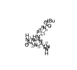 CC(C)(C)OC(=O)N1CCC(F)(CNc2nc(-c3cn[nH]c3)cn3cc(C(N)=O)nc23)CC1